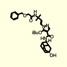 CC(C)COc1c(C(=O)N[C@H]2C3CC4CC2C[C@](O)(C4)C3)cnn1/C=C/C(C)(C)NC(=O)COCc1ccccc1